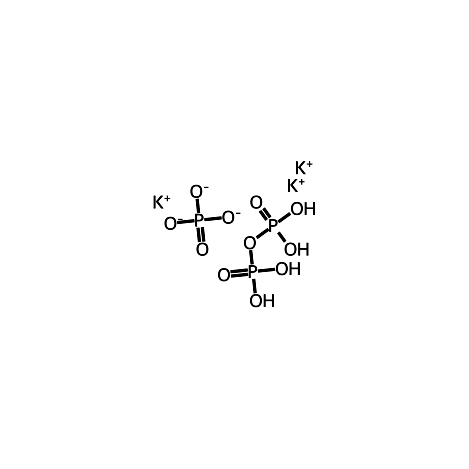 O=P(O)(O)OP(=O)(O)O.O=P([O-])([O-])[O-].[K+].[K+].[K+]